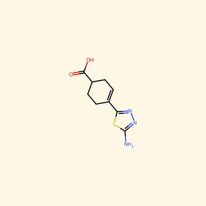 Nc1nnc(C2=CCC(C(=O)O)CC2)s1